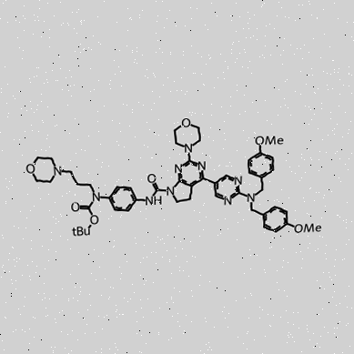 COc1ccc(CN(Cc2ccc(OC)cc2)c2ncc(-c3nc(N4CCOCC4)nc4c3CCN4C(=O)Nc3ccc(N(CCCN4CCOCC4)C(=O)OC(C)(C)C)cc3)cn2)cc1